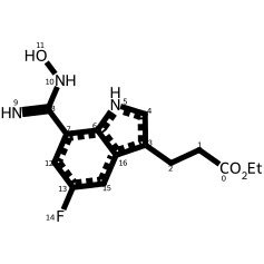 CCOC(=O)CCc1c[nH]c2c(C(=N)NO)cc(F)cc12